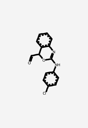 O=CC1OC(Nc2ccc(Cl)cc2)=Nc2ccccc21